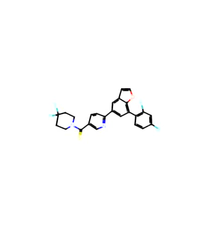 Fc1ccc(-c2cc(-c3ccc(C(=S)N4CCC(F)(F)CC4)cn3)cc3ccoc23)c(F)c1